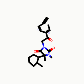 C#C/C=C\C(=C/C)C(=O)CN1C(=O)N(C)C(C)(C2CCCCC2C)C1=O